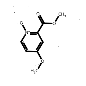 COC(=O)c1cc(OC)cc[n+]1[O-]